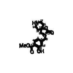 COC(=O)c1ccc(CN2CC3(CCNCC3)OC2=O)cc1O